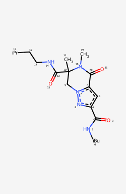 CCC(C)NC(=O)c1cc2n(n1)CC(C)(C(=O)NCCC(C)C)N(C)C2=O